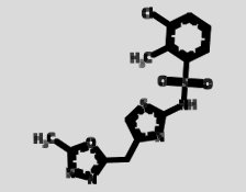 Cc1nnc(Cc2csc(NS(=O)(=O)c3cccc(Cl)c3C)n2)o1